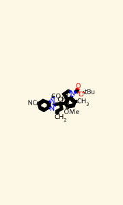 C=CCC(C)(c1c(OC)cc(C)c2c1CCN2C(=O)OC(C)(C)C)c1nc2ccc(C#N)cc2n1C(=O)O